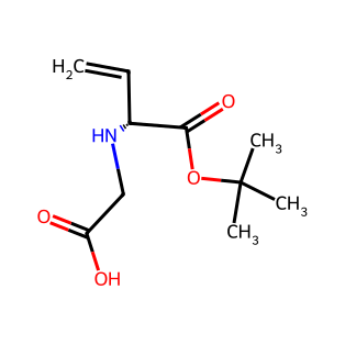 C=C[C@@H](NCC(=O)O)C(=O)OC(C)(C)C